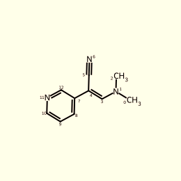 CN(C)/C=C(\C#N)c1cccnc1